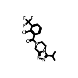 CC(C)c1nnc2n1CCN(C(=O)c1cccc(C(F)(F)F)c1Cl)C2